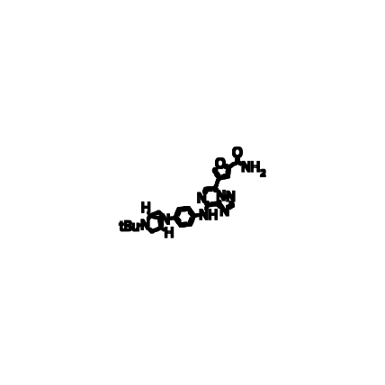 CC(C)(C)N1C[C@@H]2C[C@@H]1CN2c1ccc(Nc2ncc(-c3coc(C(N)=O)c3)n3ncnc23)cc1